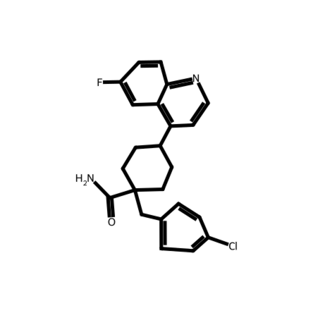 NC(=O)C1(Cc2ccc(Cl)cc2)CCC(c2ccnc3ccc(F)cc23)CC1